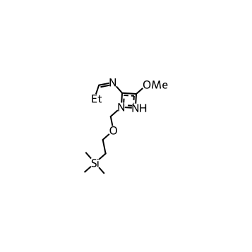 CC/C=N\c1c(OC)[nH]n1COCC[Si](C)(C)C